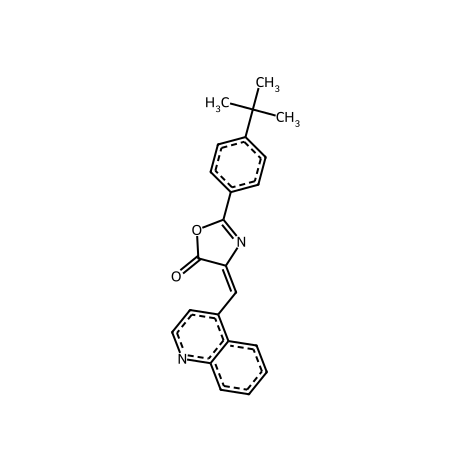 CC(C)(C)c1ccc(C2=N/C(=C/c3ccnc4ccccc34)C(=O)O2)cc1